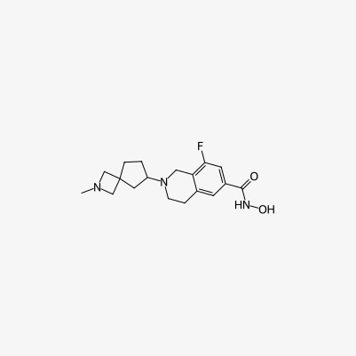 CN1CC2(CCC(N3CCc4cc(C(=O)NO)cc(F)c4C3)C2)C1